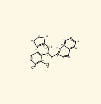 Clc1cccc(C(Cc2ccc3ccccc3n2)NC2=NCCS2)c1Cl